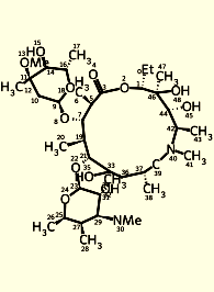 CC[C@H]1OC(=O)[C@H](C)[C@@H](O[C@H]2C[C@@](C)(OC)[C@@H](O)[C@H](C)O2)[C@H](C)[C@@H](O[C@@H]2O[C@H](C)[C@H](C)[C@H](NC)[C@H]2O)[C@](C)(O)C[C@@H](C)CN(C)[C@H](C)[C@@H](O)[C@]1(C)O